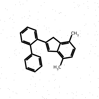 Cc1ccc(C)c2c1C=C(c1ccccc1-c1ccccc1)C2